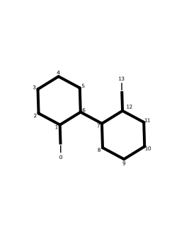 IC1CCCCC1C1CCCCC1I